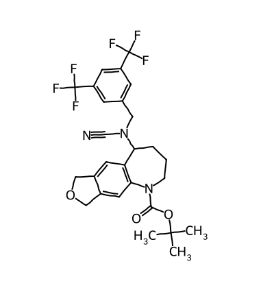 CC(C)(C)OC(=O)N1CCCC(N(C#N)Cc2cc(C(F)(F)F)cc(C(F)(F)F)c2)c2cc3c(cc21)COC3